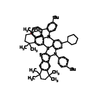 CC(C)(C)c1ccc(N2c3cc(C4CCCCC4)cc4c3B(c3cc5c(cc3N4c3ccc(C(C)(C)C)cc3-c3ccccc3)C(C)(C)CCC5(C)C)c3sc4cc5c(cc4c32)C(C)(C)CCC5(C)C)cc1